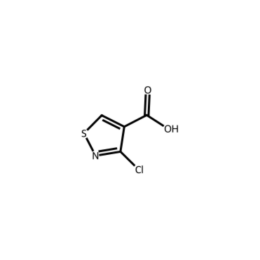 O=C(O)c1csnc1Cl